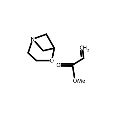 C1CN2CC(C2)O1.C=CC(=O)OC